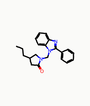 CCCC1CC(=O)N(Cn2c(-c3ccccc3)nc3ccccc32)C1